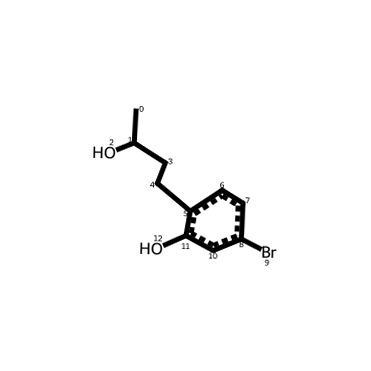 CC(O)CCc1ccc(Br)cc1O